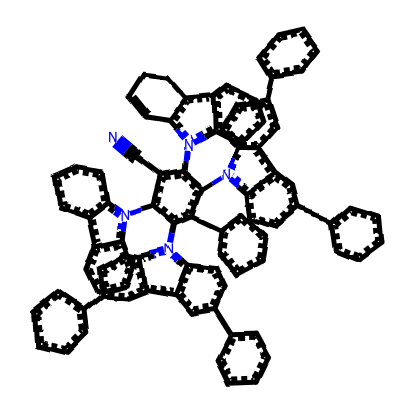 N#Cc1c(-n2c3c(c4ccccc42)CCC=C3)c(-n2c3ccc(-c4ccccc4)cc3c3cc(-c4ccccc4)ccc32)c(-c2ccccc2)c(-n2c3ccc(-c4ccccc4)cc3c3cc(-c4ccccc4)ccc32)c1-n1c2ccccc2c2ccccc21